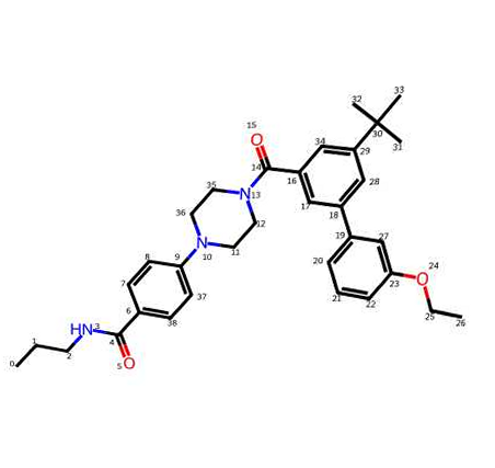 CCCNC(=O)c1ccc(N2CCN(C(=O)c3cc(-c4cccc(OCC)c4)cc(C(C)(C)C)c3)CC2)cc1